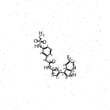 CS(=O)(=O)Nc1cccc(CC(=O)Nc2nc(-c3c[nH]c4ncc(F)cc34)cs2)c1